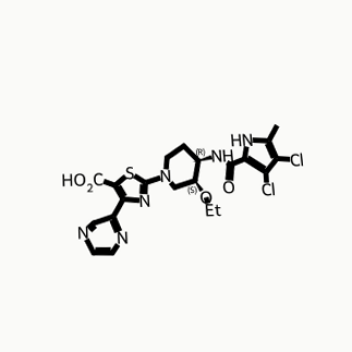 CCO[C@H]1CN(c2nc(-c3cnccn3)c(C(=O)O)s2)CC[C@H]1NC(=O)c1[nH]c(C)c(Cl)c1Cl